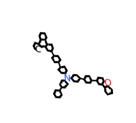 c1ccc(-c2ccc(N(c3ccc(-c4ccc(-c5ccc6oc7ccccc7c6c5)cc4)cc3)c3ccc(-c4ccc(-c5ccc6c7ccccc7c7ccccc7c6c5)cc4)cc3)cc2)cc1